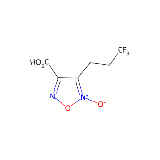 O=C(O)c1no[n+]([O-])c1CCC(F)(F)F